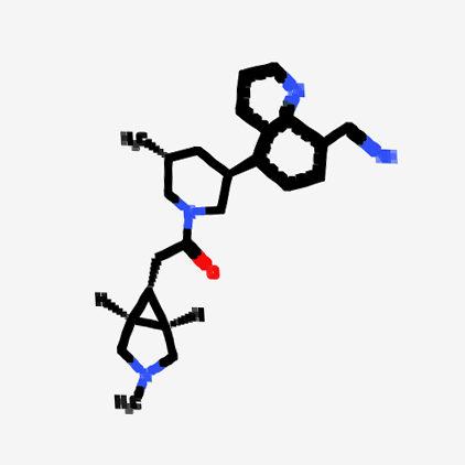 C[C@@H]1C[C@@H](c2ccc(C=N)c3ncccc23)CN(C(=O)C[C@@H]2[C@H]3CN(C)C[C@@H]23)C1